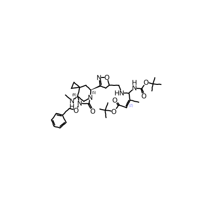 CN[C@@]12CN(C(=O)N1OCc1ccccc1)[C@H](C1=NOC(CNC(NC(=O)OC(C)(C)C)/C(C)=C\C(=O)OC(C)(C)C)C1)CC21CC1